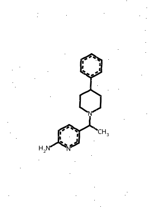 CC(c1ccc(N)nc1)N1CCC(c2ccccc2)CC1